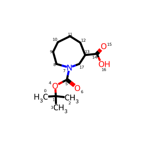 CC(C)(C)OC(=O)N1CCCCCC(C(=O)O)C1